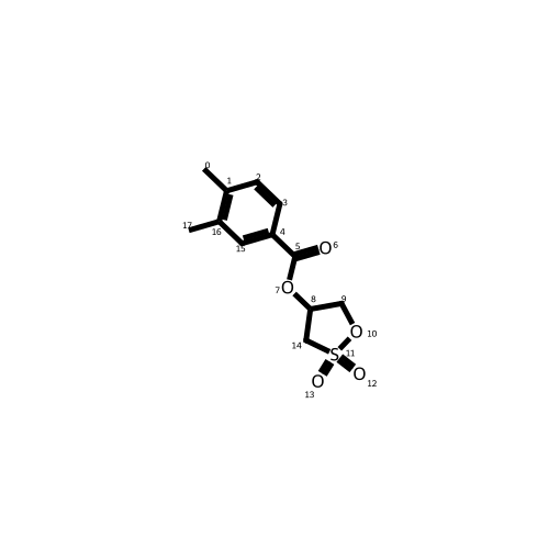 Cc1ccc(C(=O)OC2COS(=O)(=O)C2)cc1C